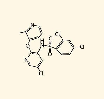 Cc1ncccc1Oc1ncc(Cl)cc1NS(=O)(=O)c1ccc(Cl)cc1Cl